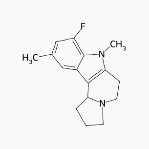 Cc1cc(F)c2c(c1)c1c(n2C)CCN2CCCC12